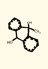 CC1(O)c2ccccc2C(O)c2ccccc21